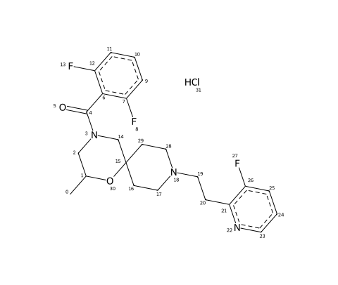 CC1CN(C(=O)c2c(F)cccc2F)CC2(CCN(CCc3ncccc3F)CC2)O1.Cl